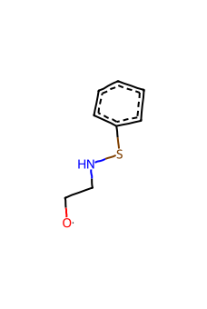 [O]CCNSc1ccccc1